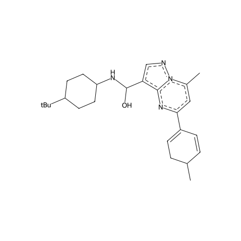 Cc1cc(C2=CCC(C)C=C2)nc2c(C(O)NC3CCC(C(C)(C)C)CC3)cnn12